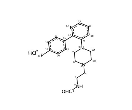 Cl.O=CNCCN1CCN(c2cccnc2-c2ccc(F)cc2)CC1